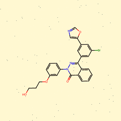 O=c1c2ccccc2c(-c2cc(Br)cc(-c3cnco3)c2)nn1-c1cccc(OCCCO)c1